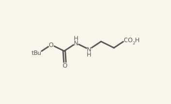 CC(C)(C)OC(=O)NNCCC(=O)O